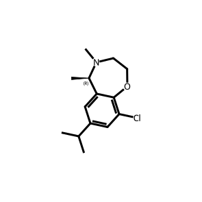 CC(C)c1cc(Cl)c2c(c1)[C@@H](C)N(C)CCO2